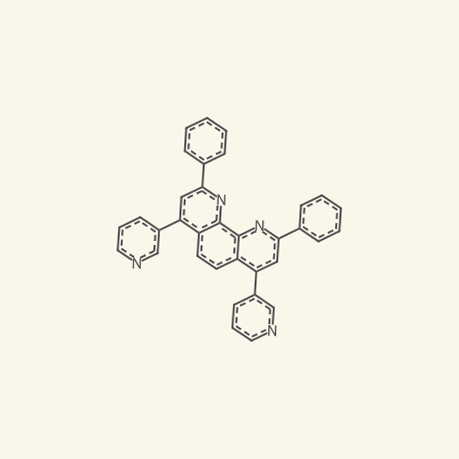 c1ccc(-c2cc(-c3cccnc3)c3ccc4c(-c5cccnc5)cc(-c5ccccc5)nc4c3n2)cc1